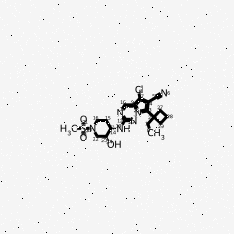 CCC1(c2c(C#N)c(Cl)c3cnc(N[C@H]4CCN(S(C)(=O)=O)C[C@H]4O)nn23)CCC1